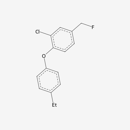 CCc1ccc(Oc2ccc(CF)cc2Cl)cc1